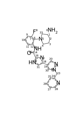 N[C@@H]1CCCN(c2c(F)cccc2NC(=O)c2nc(-c3cnn(Cc4ccccn4)c3)c[nH]2)C1